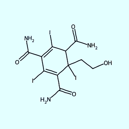 NC(=O)C1=C(I)C(C(N)=O)C(I)(CCO)C(C(N)=O)=C1I